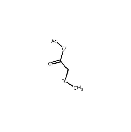 C[Te]CC(=O)OC(C)=O